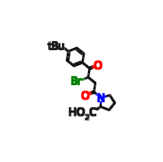 CC(C)(C)c1ccc(C(=O)C(Br)CC(=O)N2CCC[C@H]2C(=O)O)cc1